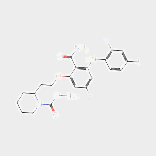 CC(C)(C)OC(=O)N1CCCCC1CCOc1cc(F)cc(Nc2ccc(I)cc2F)c1C(N)=O